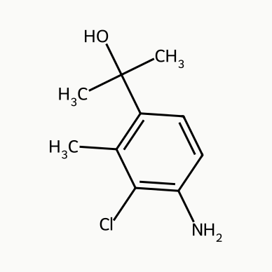 Cc1c(C(C)(C)O)ccc(N)c1Cl